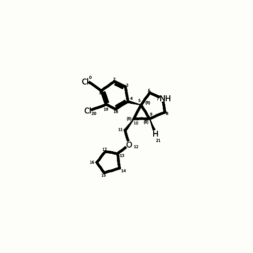 Clc1ccc([C@@]23CNC[C@@H]2[C@H]3COC2CCCC2)cc1Cl